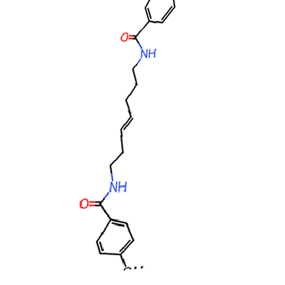 COc1ccc(C(=O)NCCC=CCCCNC(=O)c2ccc(OC)cc2)cc1